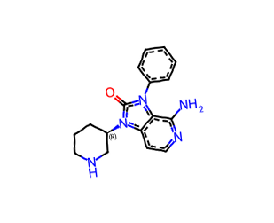 Nc1nccc2c1n(-c1ccccc1)c(=O)n2[C@@H]1CCCNC1